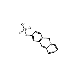 [O-][Cl+3]([O-])([O-])Oc1ccc2c(c1)C=C1C=CC=CN1C2